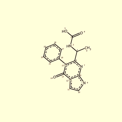 CC(NC(=O)O)c1nc2nccn2c(=O)n1-c1ccccc1